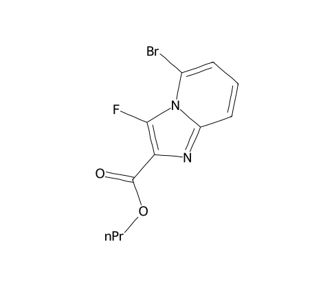 CCCOC(=O)c1nc2cccc(Br)n2c1F